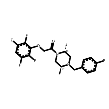 C[C@@H]1CN(Cc2ccc(F)cc2)[C@@H](C)CN1C(=O)COc1c(F)c(F)cc(F)c1F